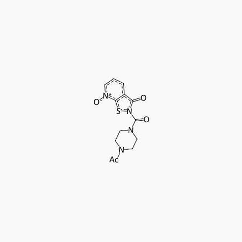 CC(=O)N1CCN(C(=O)n2sc3c(ccc[n+]3[O-])c2=O)CC1